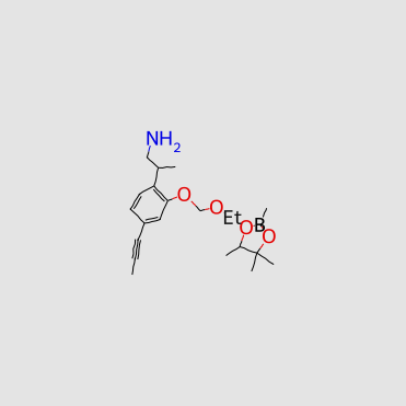 CB1OC(C)C(C)(C)O1.CC#Cc1ccc(C(C)CN)c(OCOCC)c1